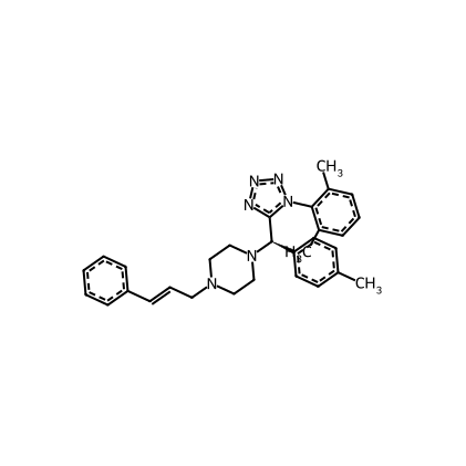 Cc1ccc([C@H](c2nnnn2-c2c(C)cccc2C)N2CCN(C/C=C/c3ccccc3)CC2)cc1